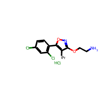 CC(C)c1c(OCCN)noc1-c1ccc(Cl)cc1Cl.Cl